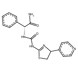 NC(=O)[C@H](NC(=O)NC1=NC(c2ccncc2)CS1)c1ccccc1